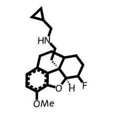 COc1ccc2c3c1O[C@@H]1C(F)CCC(CC2)[C@]31CCNCC1CC1